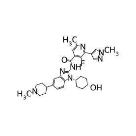 Cc1cc(C(=O)Nc2nc3cc(C4CCN(C)CC4)ccc3n2[C@H]2CC[C@@H](O)CC2)c(F)c(-c2cnn(C)c2)n1